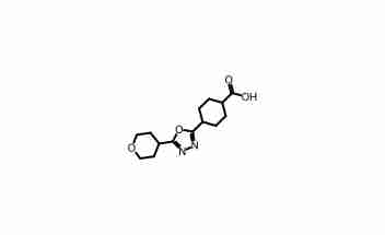 O=C(O)C1CCC(c2nnc(C3CCOCC3)o2)CC1